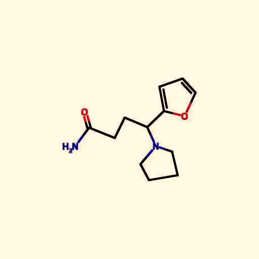 NC(=O)CCC(c1ccco1)N1CCCC1